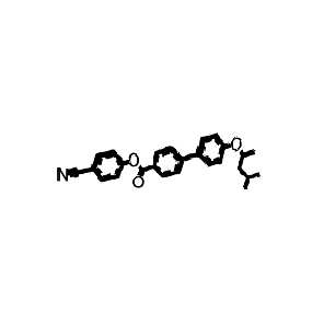 CC(C)CC(C)Oc1ccc(-c2ccc(C(=O)Oc3ccc(C#N)cc3)cc2)cc1